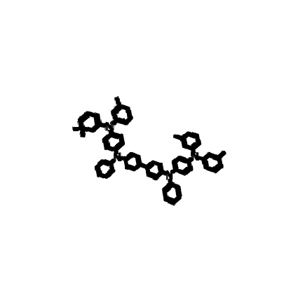 Cc1cccc(N(C2=CC=CC(C)(C)C2)c2ccc(N(c3ccccc3)c3ccc(-c4ccc(N(c5ccccc5)c5ccc(N(c6cccc(C)c6)c6cccc(C)c6)cc5)cc4)cc3)cc2)c1